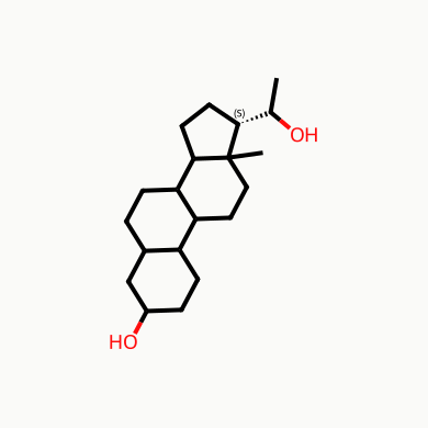 CC(O)[C@H]1CCC2C3CCC4CC(O)CCC4C3CCC21C